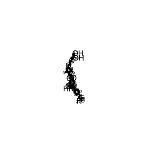 Cc1cc(OCCOC[C@H](O)CO)cc(C)c1/C=C/S(=O)(=O)N1CCC2(CC1)N=C(C1CCC(CCC(F)(F)F)CC1)NC2=O